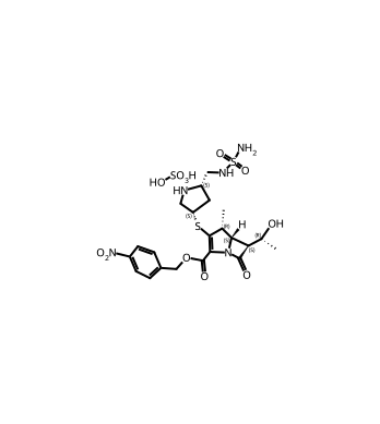 C[C@@H](O)[C@H]1C(=O)N2C(C(=O)OCc3ccc([N+](=O)[O-])cc3)=C(S[C@@H]3CN[C@H](CNS(N)(=O)=O)C3)[C@H](C)[C@H]12.O=S(=O)(O)O